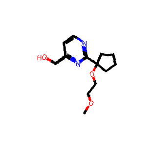 COCCOC1(c2nccc(CO)n2)CCCC1